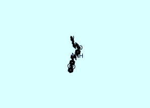 CN(C)CCCN1CCN(C(=O)c2ccc(Nc3nccc(-c4ccc(S(=O)(=O)c5ccccc5)cc4)n3)cc2)CC1